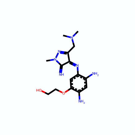 CN(C)CC1=NN(C)C(=N)C1=Nc1cc(OCCO)c(N)cc1N